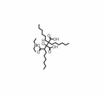 CCCCCCC(C(=O)O)C(O)(C(=O)O)C(CCCCCC)(CCCCCC)C(=O)O.CCOCC